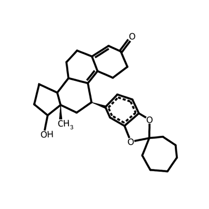 C[C@]12C[C@H](c3ccc4c(c3)OC3(CCCCCC3)O4)C3=C4CCC(=O)C=C4CCC3C1CCC2O